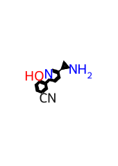 N#Cc1ccc(O)c(-c2ccc([C@H]3C[C@@H]3N)cn2)c1